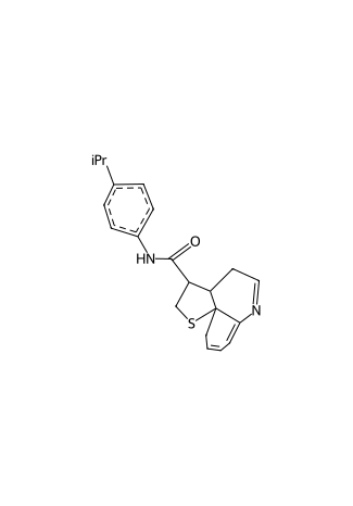 CC(C)c1ccc(NC(=O)C2CSC34CC=CC=C3N=CCC24)cc1